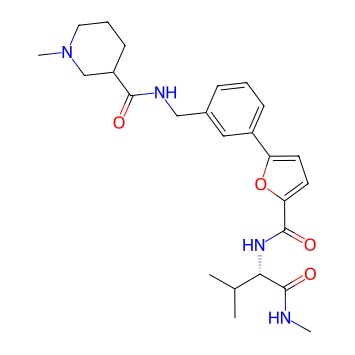 CNC(=O)[C@@H](NC(=O)c1ccc(-c2cccc(CNC(=O)C3CCCN(C)C3)c2)o1)C(C)C